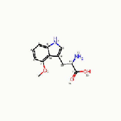 COc1cccc2[nH]cc(C[C@@H](N)C(=O)O)c12